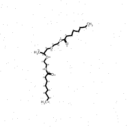 CCCCCCCC(=O)OCCOCC(C)OCCOC(=O)CCCCCCC